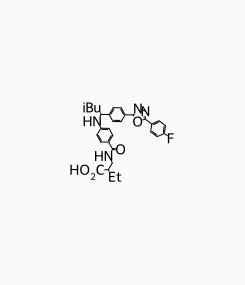 CCC(CNC(=O)c1ccc(NC(c2ccc(-c3nnc(-c4ccc(F)cc4)o3)cc2)C(C)CC)cc1)C(=O)O